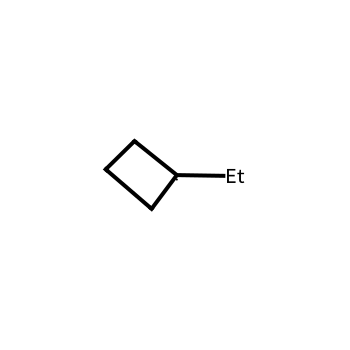 CC[C]1CCC1